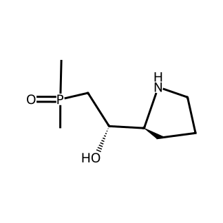 CP(C)(=O)C[C@@H](O)[C@@H]1CCCN1